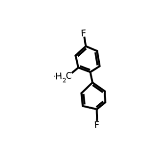 [CH2]c1cc(F)ccc1-c1ccc(F)cc1